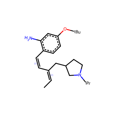 C/C=C(\C=C/c1ccc(OC(C)(C)C)cc1N)CC1CCN(C(C)C)C1